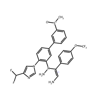 C[S+]([O-])c1cccc(-c2ccc(-n3cnc(C(F)F)c3)c(N(N)/C(=C\N)c3ccc(OC(F)(F)F)cc3)c2)c1